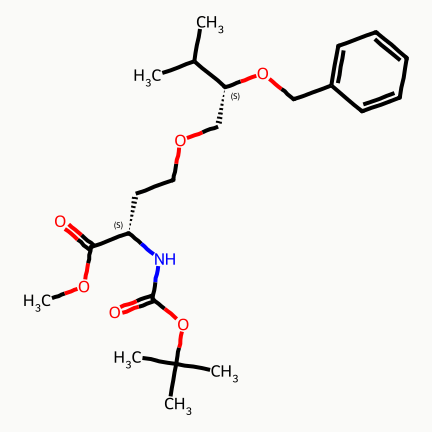 COC(=O)[C@H](CCOC[C@@H](OCc1ccccc1)C(C)C)NC(=O)OC(C)(C)C